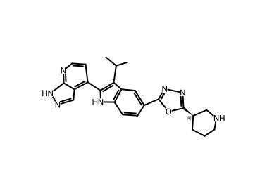 CC(C)c1c(-c2ccnc3[nH]ncc23)[nH]c2ccc(-c3nnc([C@@H]4CCCNC4)o3)cc12